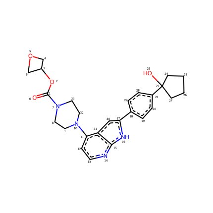 O=C(OC1COC1)N1CCN(c2ccnc3[nH]c(-c4ccc(C5(O)CCCC5)cc4)cc23)CC1